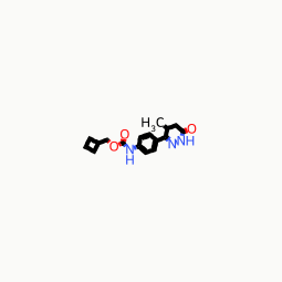 CC1CC(=O)NN=C1c1ccc(NC(=O)OCC2CCC2)cc1